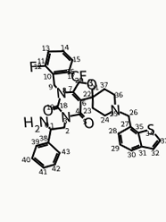 N[C@@H](Cn1c(=O)c2c(n(Cc3c(F)cccc3C(F)(F)F)c1=O)COC21CCN(Cc2cccc3ccsc23)CC1)c1ccccc1